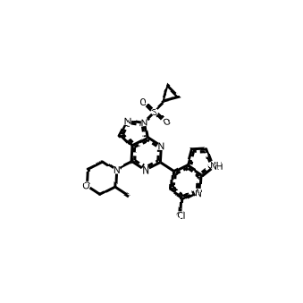 CC1COCCN1c1nc(-c2cc(Cl)nc3[nH]ccc23)nc2c1cnn2S(=O)(=O)C1CC1